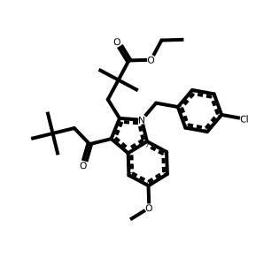 CCOC(=O)C(C)(C)Cc1c(C(=O)CC(C)(C)C)c2cc(OC)ccc2n1Cc1ccc(Cl)cc1